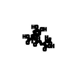 CC(=O)NC(CCC(=O)N[C@@](C)(Cc1ccc(O)c(O)c1)C(=O)O)C(=O)O